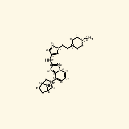 CN1CCN(CCn2cc(Nc3nc4c(N5CC6CCC(C5)N6)cccn4n3)cn2)CC1